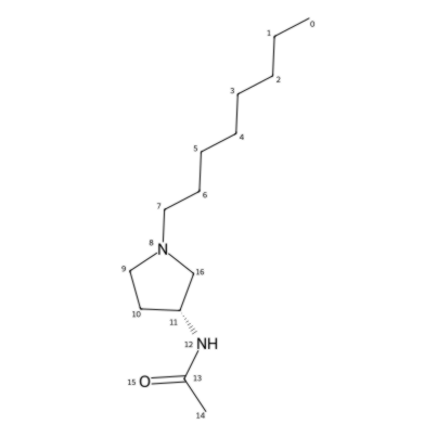 CCCCCCCCN1CC[C@@H](NC(C)=O)C1